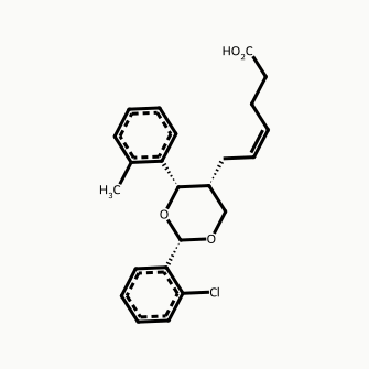 Cc1ccccc1[C@H]1O[C@@H](c2ccccc2Cl)OC[C@H]1C/C=C\CCC(=O)O